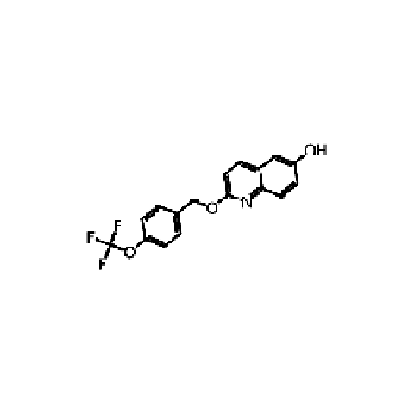 Oc1ccc2nc(OCc3ccc(OC(F)(F)F)cc3)ccc2c1